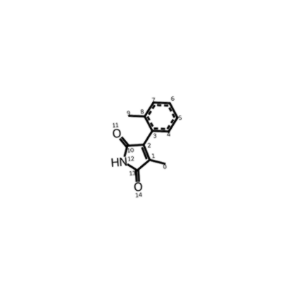 CC1=C(c2ccccc2C)C(=O)NC1=O